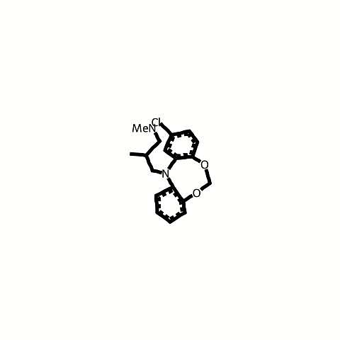 CNCC(C)CN1c2ccccc2OCOc2ccc(Cl)cc21